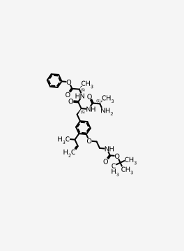 C=CC(C)c1cc(C[C@H](NC(=O)[C@H](C)N)C(=O)N[C@@H](C)C(=O)Oc2ccccc2)ccc1OCCNC(=O)OC(C)(C)C